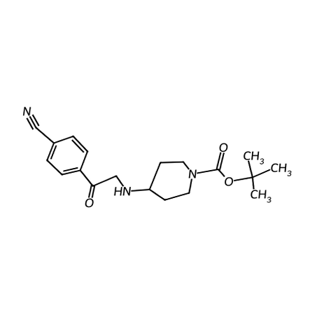 CC(C)(C)OC(=O)N1CCC(NCC(=O)c2ccc(C#N)cc2)CC1